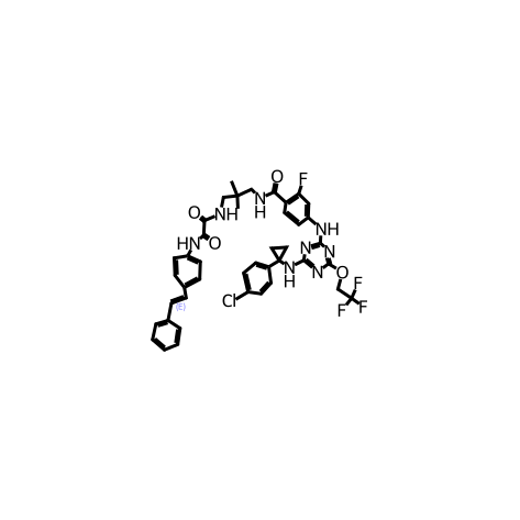 CC(C)(CNC(=O)C(=O)Nc1ccc(/C=C/c2ccccc2)cc1)CNC(=O)c1ccc(Nc2nc(NC3(c4ccc(Cl)cc4)CC3)nc(OCC(F)(F)F)n2)cc1F